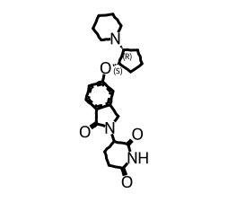 O=C1CCC(N2Cc3cc(O[C@H]4CCC[C@H]4N4CCCCC4)ccc3C2=O)C(=O)N1